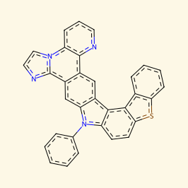 c1ccc(-n2c3cc4c(cc3c3c5c(ccc32)sc2ccccc25)c2ncccc2n2ccnc42)cc1